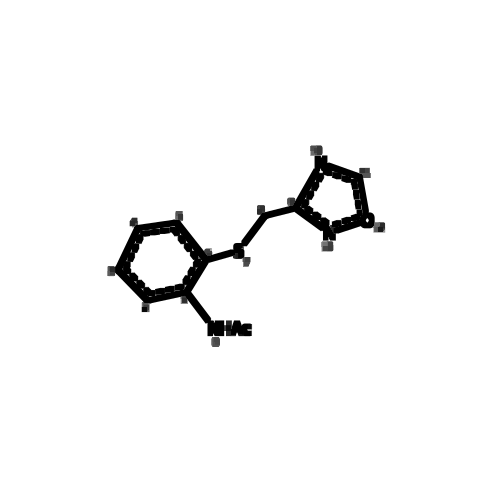 CC(=O)Nc1ccccc1SCc1ncon1